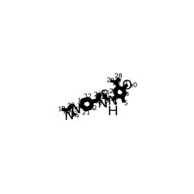 COc1cc(C)c(Nc2nc(-c3ccc(-n4cnc(C)c4)cc3)cs2)cc1C(C)C